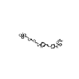 CN(C(=O)OC(C)(C)C)c1ccc(C=Cc2ccc(OCCOCCOCCOS(C)(=O)=O)nc2)cc1